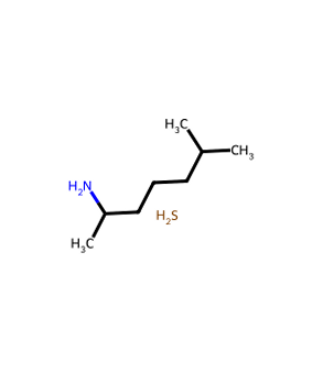 CC(C)CCCC(C)N.S